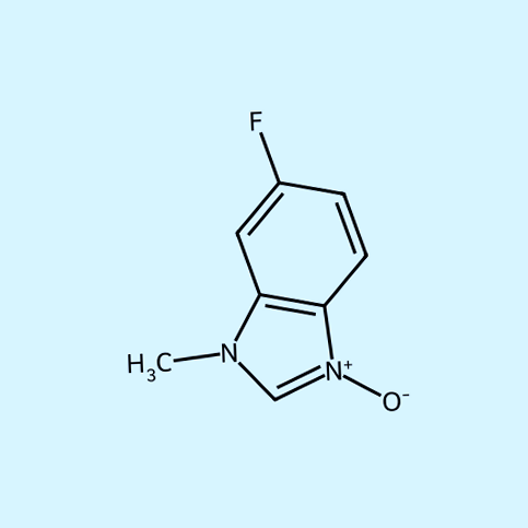 Cn1c[n+]([O-])c2ccc(F)cc21